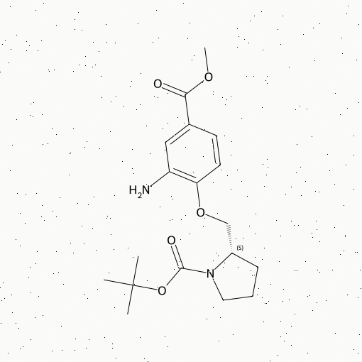 COC(=O)c1ccc(OC[C@@H]2CCCN2C(=O)OC(C)(C)C)c(N)c1